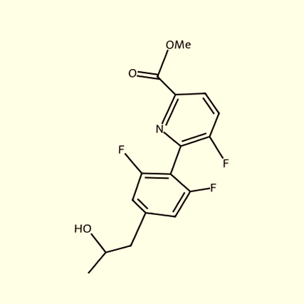 COC(=O)c1ccc(F)c(-c2c(F)cc(CC(C)O)cc2F)n1